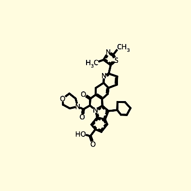 Cc1nc(C)c(C2=NC3CC4=C(C=C3C=C2)c2c(C3CCCCC3)c3ccc(C(=O)O)cc3n2C(C(=O)N2CCOCC2)C4=O)s1